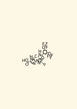 C[C@H](NC(=O)c1cc(OC(F)(F)F)cc(OC(F)(F)F)c1)c1nc(C2CC2)nn1-c1cnc(C(=O)O)cn1